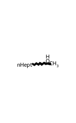 CC=C(O)C=CC=CCCCCCCCCCCC